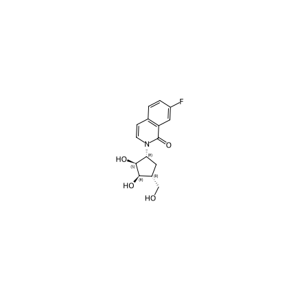 O=c1c2cc(F)ccc2ccn1[C@@H]1C[C@H](CO)[C@@H](O)[C@H]1O